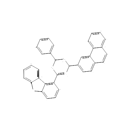 c1ccc(C2NC(c3cccc4oc5ccccc5c34)=NC(c3ccc4ccc5ccccc5c4c3)N2)cc1